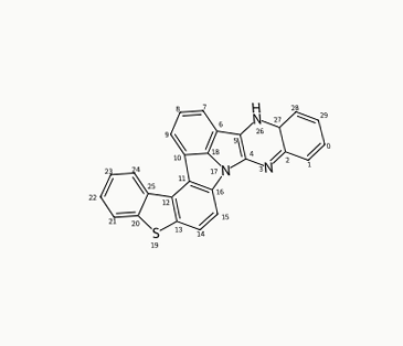 C1=CC2=Nc3c(c4cccc5c6c7c(ccc6n3c45)sc3ccccc37)NC2C=C1